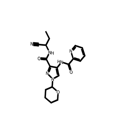 CCC(C#N)NC(=O)c1nn(C2CCCCO2)cc1NC(=O)c1ccccn1